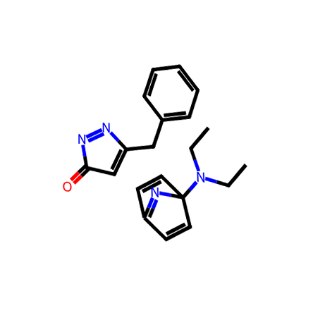 CCN(CC)C12C=CC(=N1)C=C2.O=C1C=C(Cc2ccccc2)N=N1